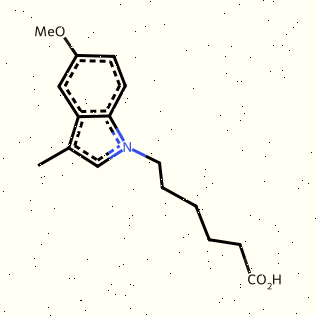 COc1ccc2c(c1)c(C)cn2CCCCCC(=O)O